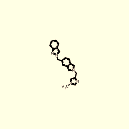 Cn1cnc(Cn2cc3ccc(Cn4cc5ccccc5n4)cc3c2)c1